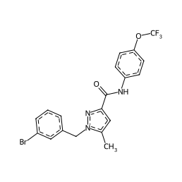 Cc1cc(C(=O)Nc2ccc(OC(F)(F)F)cc2)nn1Cc1cccc(Br)c1